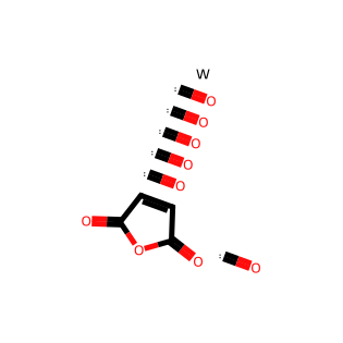 O=C1C=CC(=O)O1.[C]=O.[C]=O.[C]=O.[C]=O.[C]=O.[C]=O.[W]